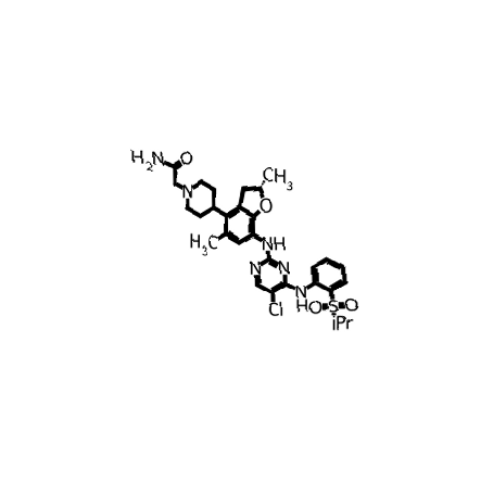 Cc1cc(Nc2ncc(Cl)c(Nc3ccccc3S(=O)(=O)C(C)C)n2)c2c(c1C1CCN(CC(N)=O)CC1)C[C@H](C)O2